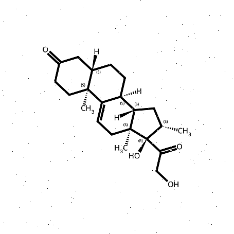 C[C@H]1C[C@H]2[C@@H]3CC[C@H]4CC(=O)CC[C@]4(C)C3=CC[C@]2(C)[C@@]1(O)C(=O)CO